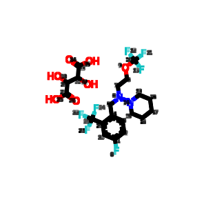 Fc1ccc(CN(CCOC(F)(F)F)N2CCCCC2)c(C(F)(F)F)c1.O=C(O)C(O)C(O)C(=O)O